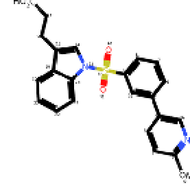 COc1ccc(-c2cccc(S(=O)(=O)n3cc(CCC(=O)O)c4ccccc43)c2)cn1